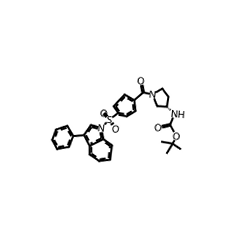 CC(C)(C)OC(=O)N[C@H]1CCN(C(=O)c2ccc(S(=O)(=O)n3cc(-c4ccccc4)c4ccccc43)cc2)C1